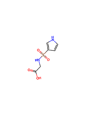 O=C(O)CNS(=O)(=O)c1cc[nH]c1